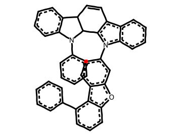 C1=CC2c3ccccc3N(c3ccccc3)C2c2c1c1ccccc1n2-c1ccc2c(c1)oc1cccc(-c3ccccc3)c12